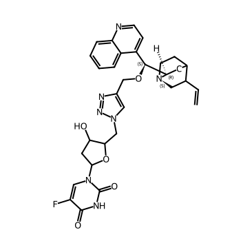 C=CC1C[N@@]2CCC1C[C@@H]2[C@@H](OCc1cn(CC2OC(n3cc(F)c(=O)[nH]c3=O)CC2O)nn1)c1ccnc2ccccc12